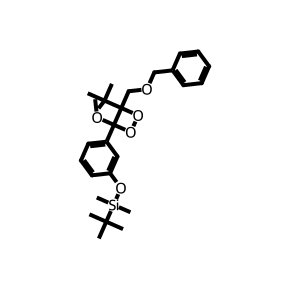 COC1(c2cccc(O[Si](C)(C)C(C)(C)C)c2)OOC1(COCc1ccccc1)C(C)(C)C